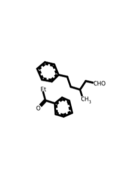 CC(CC=O)CCc1ccccc1.CCC(=O)c1ccccc1